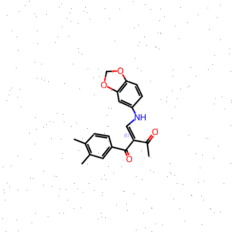 CC(=O)/C(=C\Nc1ccc2c(c1)OCO2)C(=O)c1ccc(C)c(C)c1